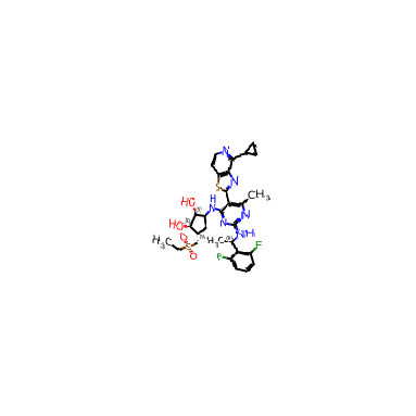 CCS(=O)(=O)C[C@H]1CC(Nc2nc(N[C@H](C)c3c(F)cccc3F)nc(C)c2-c2nc3c(C4CC4)nccc3s2)[C@H](O)[C@@H]1O